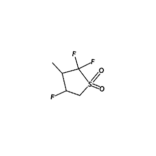 CC1C(F)CS(=O)(=O)C1(F)F